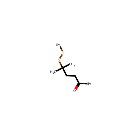 CC(C)SSC(C)(C)CCC(=O)C(C)C